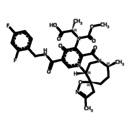 COC(=O)N(c1c2n(cc(C(=O)NCc3ccc(F)cc3F)c1=O)[C@@H]1CN(C2=O)[C@@H](C)CC[C@]12CC(C)=NO2)[C@@H](C)C(=O)O